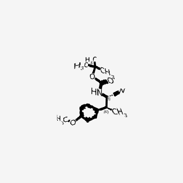 COc1ccc([C@H](C)[C@@H](C#N)NC(=O)OC(C)(C)C)cc1